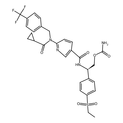 CCS(=O)(=O)c1ccc([C@H](COC(N)=O)NC(=O)c2ccc(N(Cc3ccc(C(F)(F)F)cc3)C(=O)C3CC3)nc2)cc1